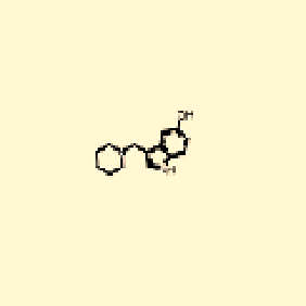 Oc1ccc2[nH]cc(CN3CCCCC3)c2c1